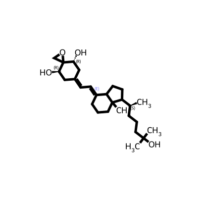 C[C@@H](CCCC(C)(C)O)C1CCC2/C(=C/C=C3C[C@@H](O)C4(CO4)[C@H](O)C3)CCCC21C